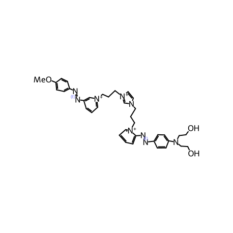 COc1ccc(/N=N/c2ccc[n+](CCC[n+]3ccn(CCC[n+]4ccccc4/N=N/c4ccc(N(CCO)CCO)cc4)c3)c2)cc1